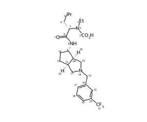 CCN(C(=O)O)[C@@H](CC(C)C)C(=O)N[C@H]1CC[C@@H]2CN(Cc3cccc(C(F)(F)F)c3)C[C@@H]21